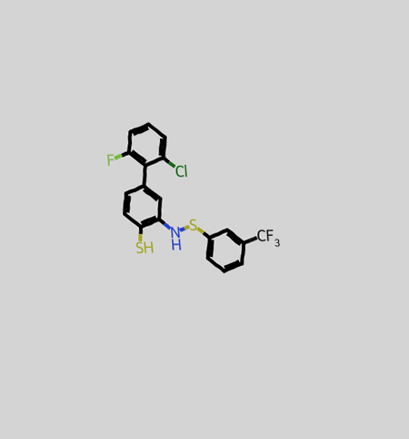 Fc1cccc(Cl)c1-c1ccc(S)c(NSc2cccc(C(F)(F)F)c2)c1